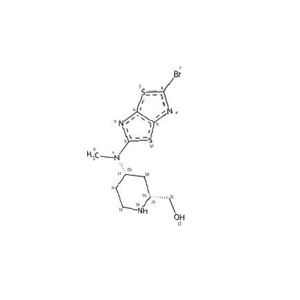 CN(c1nc2sc(Br)nc2s1)[C@H]1CCN[C@@H](CO)C1